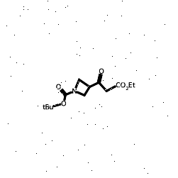 CCOC(=O)CC(=O)C1CN(C(=O)OC(C)(C)C)C1